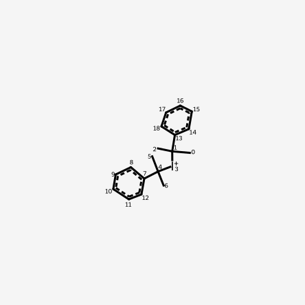 CC(C)([I+]C(C)(C)c1ccccc1)c1ccccc1